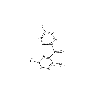 Cc1ccc(C(=O)C2=CC(Cl)CC=C2N)cn1